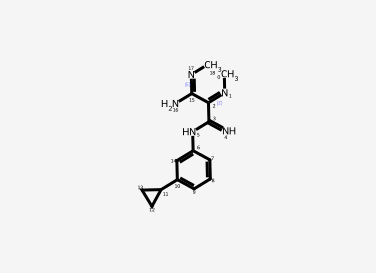 C/N=C(C(=N)Nc1cccc(C2CC2)c1)\C(N)=N/C